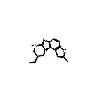 CCC1CNc2nc3ccc4c(c3n2C1)CC(C)O4